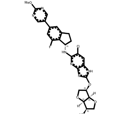 COc1ncc(-c2cc(F)c3c(c2)CC[C@@H]3Nc2nc3nc(O[C@@H]4CO[C@H]5[C@@H]4OC[C@H]5O)[nH]c3cc2Cl)cn1